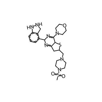 CS(=O)(=O)N1CCN(CC2CC3=NC(c4cccc5c4CNN5)N=C(N4CCOCC4)C3S2)CC1